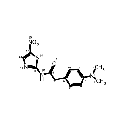 CN(C)c1ccc(CC(=O)Nc2ncc([N+](=O)[O-])s2)cc1